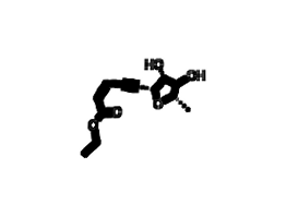 CCOC(=O)/C=C\C#C[C@H]1O[C@@H](C)C(O)[C@H]1O